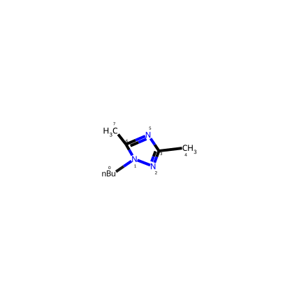 CCCCn1nc(C)nc1C